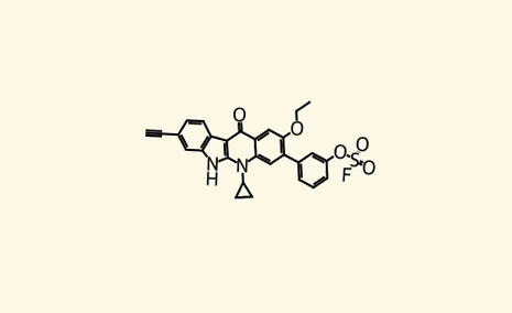 C#Cc1ccc2c(c1)[nH]c1c2c(=O)c2cc(OCC)c(-c3cccc(OS(=O)(=O)F)c3)cc2n1C1CC1